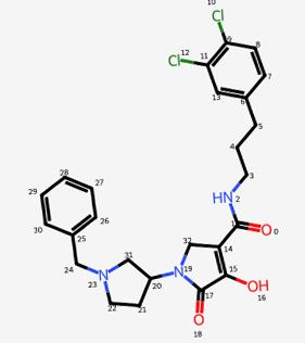 O=C(NCCCc1ccc(Cl)c(Cl)c1)C1=C(O)C(=O)N(C2CCN(Cc3ccccc3)C2)C1